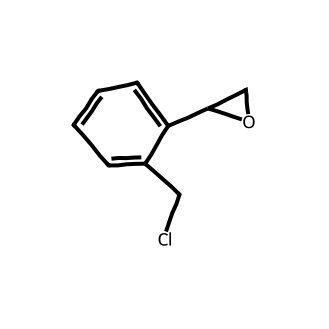 ClCc1ccccc1C1CO1